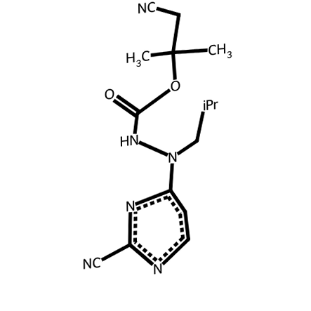 CC(C)CN(NC(=O)OC(C)(C)CC#N)c1ccnc(C#N)n1